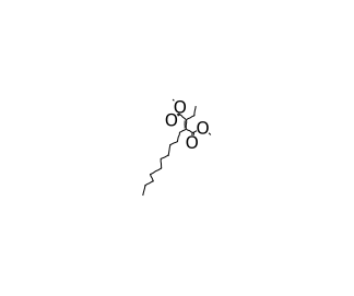 CCCCCCCCCCC(C(=O)OC)=C(CC)C(=O)OC